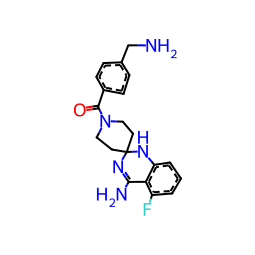 NCc1ccc(C(=O)N2CCC3(CC2)N=C(N)c2c(F)cccc2N3)cc1